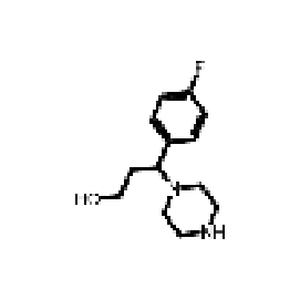 OCCC(c1ccc(F)cc1)N1CCNCC1